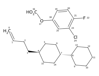 C=CCC[C@H]1CC[C@H](C2CCCCC2)CC1.O=C(O)Oc1ccc(F)c(Cl)c1